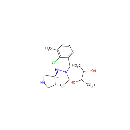 Cc1cccc(CN(CC(F)(F)F)N[C@H]2CCNC2)c1Cl.O=C(O)C(O)C(O)C(=O)O